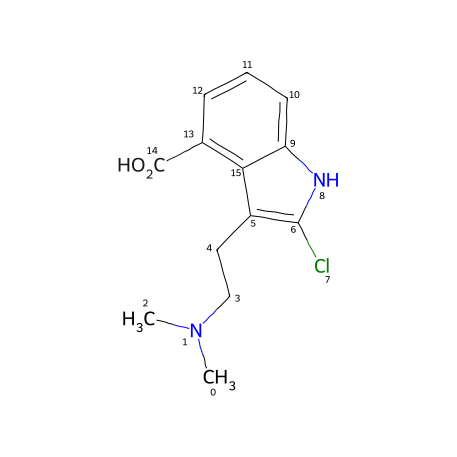 CN(C)CCc1c(Cl)[nH]c2cccc(C(=O)O)c12